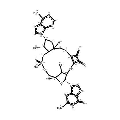 Nc1nc2c(ncn2[C@@H]2O[C@@H]3COP(=O)(O)OC4[C@@H](CNc5c(c(=O)c5=O)NC2C3O)O[C@@H](n2cnc3c(N)ncnc32)[C@H]4O)c(=O)[nH]1